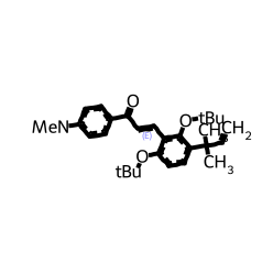 C=CC(C)(C)c1ccc(OC(C)(C)C)c(/C=C/C(=O)c2ccc(NC)cc2)c1OC(C)(C)C